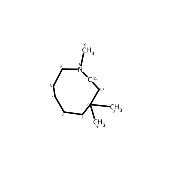 CN1CCCCCC(C)(C)CC1